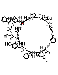 CCC[C@@H]1NC(=O)[C@H](Cc2c[nH]c3ncccc23)NC(=O)[C@@H]([C@@H](C)O)NC(=O)[C@@H]2CCCNC(=O)CCC(NC1=O)C(=O)N[C@@H](Cc1ccc(O)cc1)C(=O)N[C@@H](C1CCCCC1)C(=O)N[C@@H]([C@@H](C)O)C(=O)N[C@@H](C(N)=O)CSCc1cccc(c1)CSCCC(=O)NC(C(C)(C)C)C(=O)N[C@@H](C)C(=O)NC2